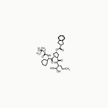 CCC[C@H](NC(=O)[C@@H]1C[C@@H](OC(=O)N2Cc3ccccc3C2)CN1C(=O)[C@@H](NC(=O)OC(C)(C)C)C1CCCCC1)B(O)O